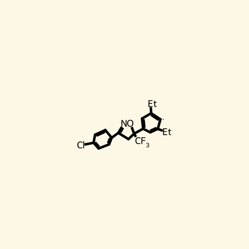 CCc1[c]c(CC)cc(C2(C(F)(F)F)CC(c3ccc(Cl)cc3)=NO2)c1